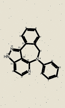 c1ccc(N2Cc3ccccc3-c3n[nH]c4ccnc2c34)cc1